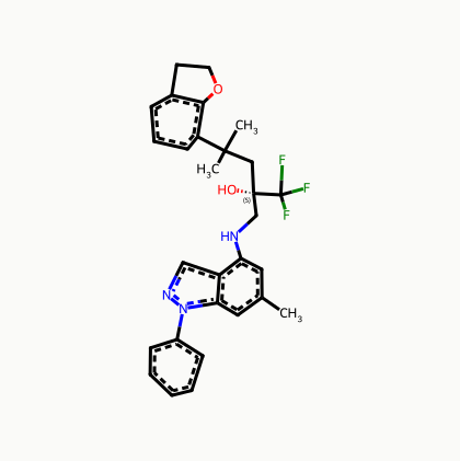 Cc1cc(NC[C@@](O)(CC(C)(C)c2cccc3c2OCC3)C(F)(F)F)c2cnn(-c3ccccc3)c2c1